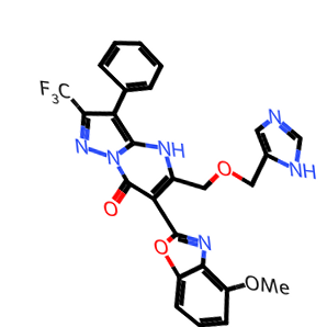 COc1cccc2oc(-c3c(COCc4cnc[nH]4)[nH]c4c(-c5ccccc5)c(C(F)(F)F)nn4c3=O)nc12